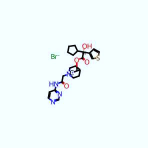 O=C(C[N+]12CCC(CC1)C(OC(=O)[C@](O)(c1ccsc1)C1CCCC1)C2)Nc1ccncn1.[Br-]